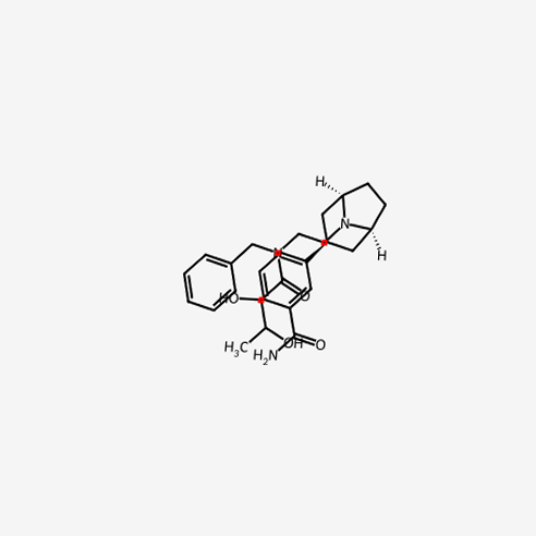 CC(O)C(O)C(=O)N(CCN1[C@@H]2CC[C@H]1C[C@@H](c1cccc(C(N)=O)c1)C2)Cc1ccccc1